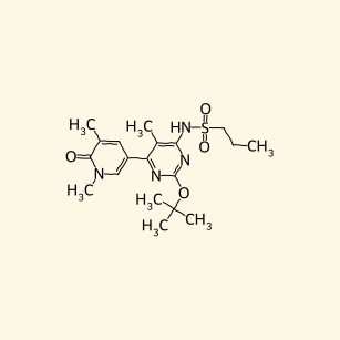 CCCS(=O)(=O)Nc1nc(OC(C)(C)C)nc(-c2cc(C)c(=O)n(C)c2)c1C